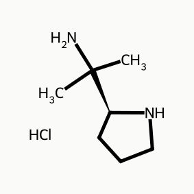 CC(C)(N)[C@@H]1CCCN1.Cl